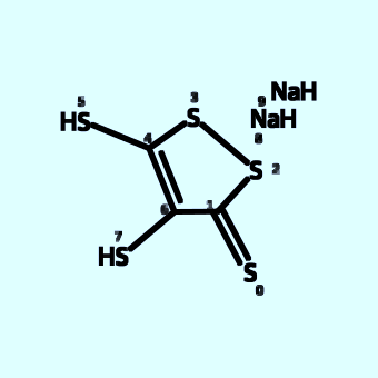 S=c1ssc(S)c1S.[NaH].[NaH]